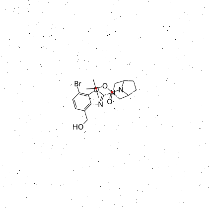 CC(C)(C)OC(=O)N1C2CCC1CN(c1nc3c(CO)ccc(Br)c3o1)C2